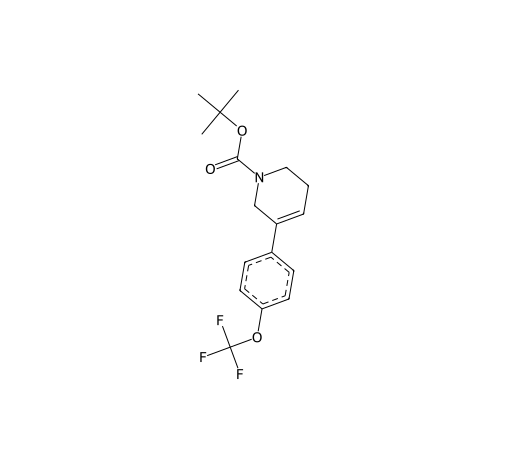 CC(C)(C)OC(=O)N1CCC=C(c2ccc(OC(F)(F)F)cc2)C1